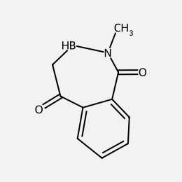 CN1BCC(=O)c2ccccc2C1=O